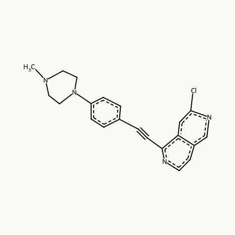 CN1CCN(c2ccc(C#Cc3nccc4cnc(Cl)cc34)cc2)CC1